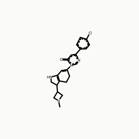 CN1CC(C2CNC3=C2CCC(n2cnc(-c4ccc(Cl)cc4)cc2=O)=C3)C1